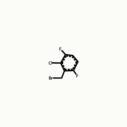 Fc1ccc(F)c(CBr)c1Cl